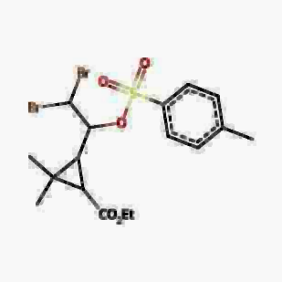 CCOC(=O)C1C(C(OS(=O)(=O)c2ccc(C)cc2)C(Br)Br)C1(C)C